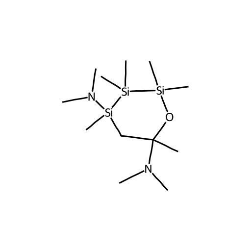 CN(C)C1(C)C[Si](C)(N(C)C)[Si](C)(C)[Si](C)(C)O1